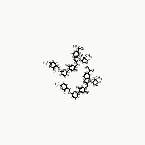 Cc1ccc(COc2cccc(-c3cc(F)c(Cc4nc5ccc(C(=O)O)cc5n4C4COCC4(C)C)cc3F)n2)c(Cl)n1.Cc1ccc(COc2cccc(-c3cc(F)c(Cc4nc5ccc(C(=O)O)cc5n4C4COCC4(C)C)cc3F)n2)c(Cl)n1